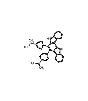 CN(C)c1ccc(-c2c(-c3ccc(N(C)C)cc3)c3c4ccccc4[nH]c3c3c2[nH]c2ccccc23)cc1